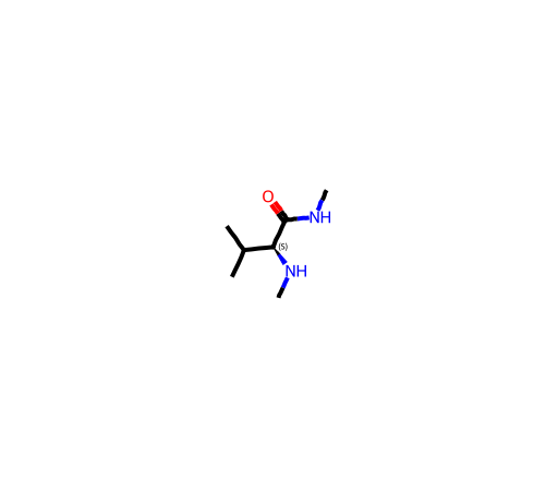 CNC(=O)[C@@H](NC)C(C)C